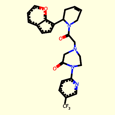 O=C1CN(CC(=O)N2CC=CCC2c2ccc3cccoc2-3)CCN1c1ccc(C(F)(F)F)cn1